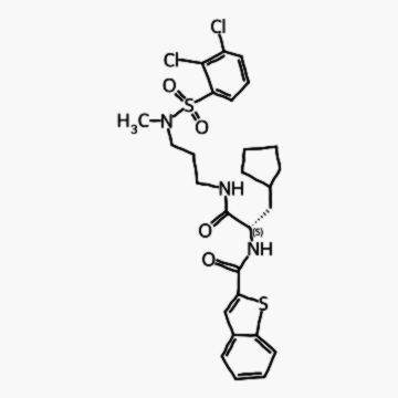 CN(CCCNC(=O)[C@H](CC1CCCC1)NC(=O)c1cc2ccccc2s1)S(=O)(=O)c1cccc(Cl)c1Cl